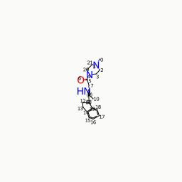 CN1CCN(C(=O)CN[C@@H]2C[C@]23CCc2ccccc23)CC1